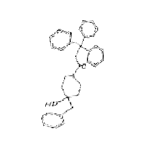 O=C(CC(c1ccccc1)(c1ccccc1)c1ccccc1)N1CCC(O)(Cc2ccccc2)CC1